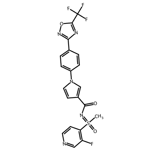 CS(=O)(=NC(=O)c1ccn(-c2ccc(-c3noc(C(F)(F)F)n3)cc2)c1)c1ccncc1F